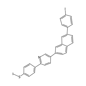 ISc1ccc(-c2ccc(-c3ccc4ccc(-c5ccc(I)cc5)cc4c3)cn2)cc1